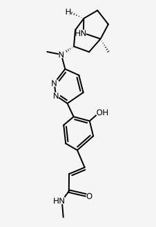 CNC(=O)/C=C/c1ccc(-c2ccc(N(C)[C@@H]3C[C@H]4CC[C@@](C)(C3)N4)nn2)c(O)c1